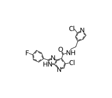 O=C(NCCc1ccnc(Cl)c1)c1c(Cl)cnc2[nH]c(-c3ccc(F)cc3)nc12